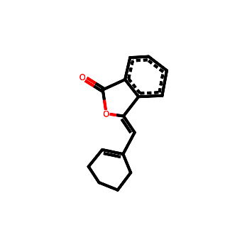 O=C1OC(=CC2=CCCCC2)c2ccccc21